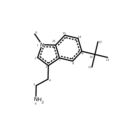 Cn1cc(CCN)c2cc(C(C)(C)C)ccc21